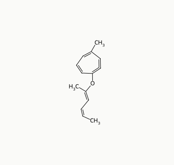 C/C=C\C=C(/C)OC1=C=CC(C)=CC=C1